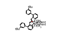 CCCC[CH2][Hf]([CH3])([CH3])(=[SiH2])([CH2]CCCC)([CH]1C=Cc2c(-c3cccc(C(C)(C)C)c3)cccc21)[CH]1C=Cc2c(-c3cccc(C(C)(C)C)c3)cccc21